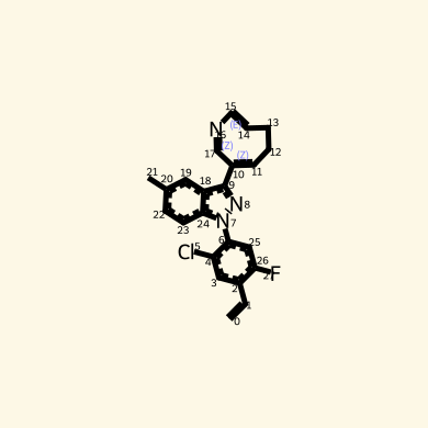 C=Cc1cc(Cl)c(-n2nc(C3=C/CC/C=C/N=C\3)c3cc(C)ccc32)cc1F